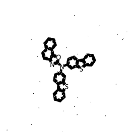 c1ccc2c(c1)ccc1nc(N(c3ccc4c(c3)sc3ccccc34)c3ccc4c(c3)sc3ccccc34)oc12